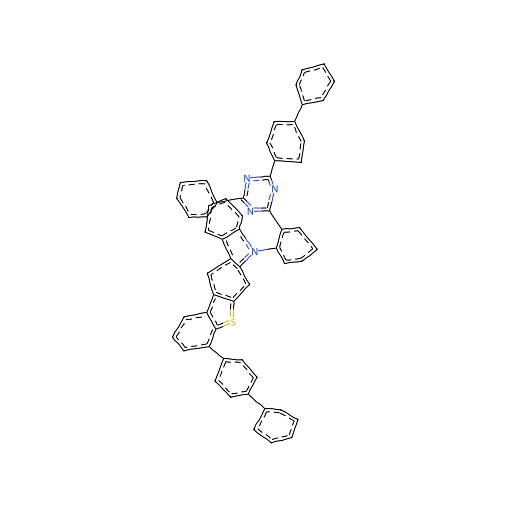 c1ccc(-c2ccc(-c3nc(-c4ccccc4)nc(-c4ccccc4-n4c5ccccc5c5cc6c(cc54)sc4c(-c5ccc(-c7ccccc7)cc5)cccc46)n3)cc2)cc1